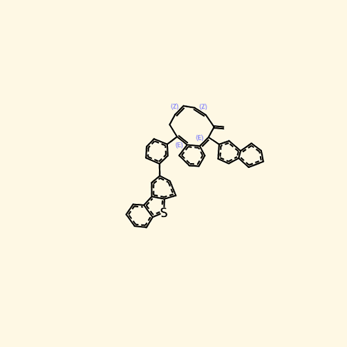 C=C1/C=C\C=C/C/C(c2cccc(-c3ccc4sc5ccccc5c4c3)c2)=c2/cccc/c2=C/1c1ccc2ccccc2c1